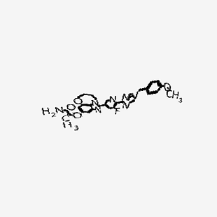 COc1ccc(Cn2cnc(-c3ncc(-c4nc5cc(O[C@@H](C)C(N)=O)cc6c5n4CCCCO6)cc3F)n2)cc1